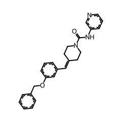 O=C(Nc1cccnc1)N1CCC(=Cc2cccc(OCc3ccccc3)c2)CC1